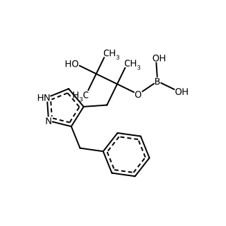 CC(C)(O)C(C)(Cc1c[nH]nc1Cc1ccccc1)OB(O)O